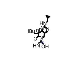 CCCC1(CC(C)CC)C(=O)N(/C(C=N)=C/O)Cc2cnc(NCC3CC3)nc21